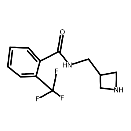 O=C(NCC1CNC1)c1ccccc1C(F)(F)F